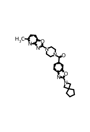 Cc1ccc2oc(N3CCN(C(=O)c4ccc5nc(N6CC7(CCCC7)C6)oc5c4)CC3)nc2n1